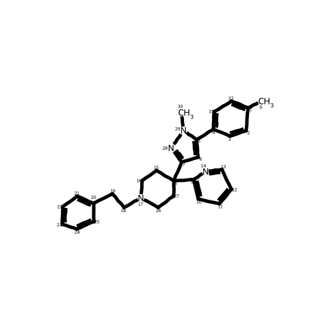 Cc1ccc(-c2cc(C3(c4ccccn4)CCN(CCc4ccccc4)CC3)nn2C)cc1